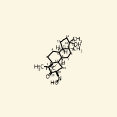 CC1=C2CC[C@@H]3[C@H](CC[C@@]4(C)[C@H]3CC[C@]4(C)O)[C@@]2(C)CC(=NO)C1=O